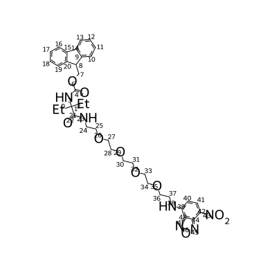 CCC(CC)(NC(=O)OCC1c2ccccc2-c2ccccc21)C(=O)NCCOCCOCCOCCOCCNc1ccc([N+](=O)[O-])c2nonc12